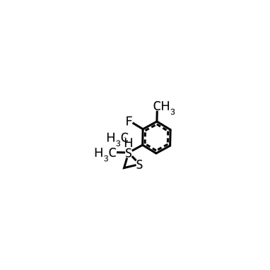 Cc1cccc([SH]2(C)(C)CS2)c1F